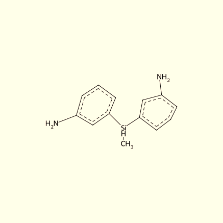 C[SiH](c1cccc(N)c1)c1cccc(N)c1